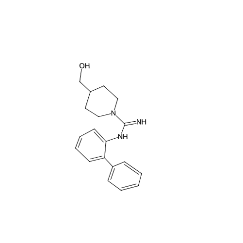 N=C(Nc1ccccc1-c1ccccc1)N1CCC(CO)CC1